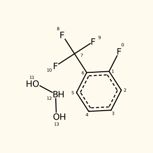 Fc1ccccc1C(F)(F)F.OBO